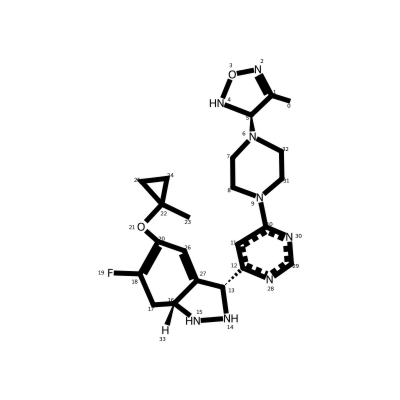 CC1=NON[C@@H]1N1CCN(c2cc([C@@H]3NN[C@@H]4CC(F)=C(OC5(C)CC5)C=C34)ncn2)CC1